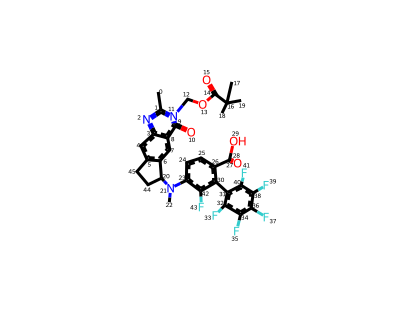 Cc1nc2cc3c(cc2c(=O)n1COC(=O)C(C)(C)C)C(N(C)c1ccc(C(=O)O)c(-c2c(F)c(F)c(F)c(F)c2F)c1F)CC3